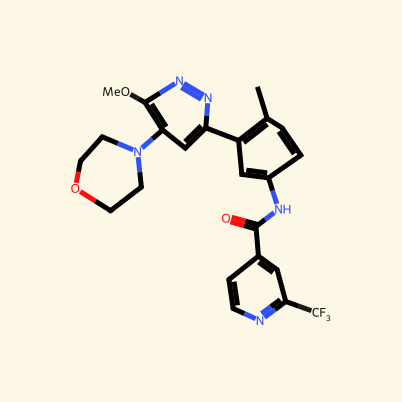 COc1nnc(-c2cc(NC(=O)c3ccnc(C(F)(F)F)c3)ccc2C)cc1N1CCOCC1